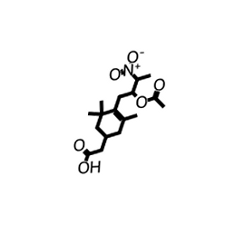 CC(=O)OC(CC1=C(C)CC(CC(=O)O)CC1(C)C)C(C)[N+](=O)[O-]